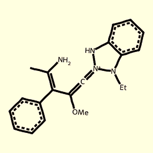 CCN1c2ccccc2N[N+]1=C=C(OC)C(=C(C)N)c1ccccc1